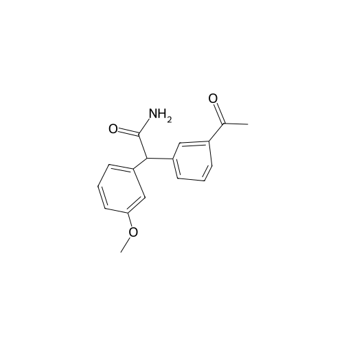 COc1cccc(C(C(N)=O)c2cccc(C(C)=O)c2)c1